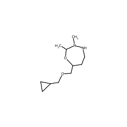 CC1OC(COCC2CC2)CCNN1C